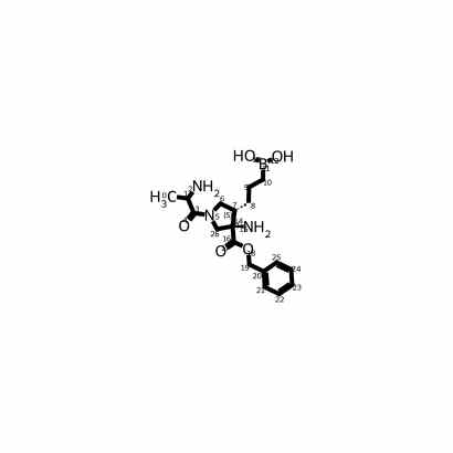 CC(N)C(=O)N1C[C@H](CCCB(O)O)[C@](N)(C(=O)OCc2ccccc2)C1